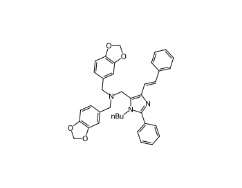 CCCCn1c(-c2ccccc2)nc(C=Cc2ccccc2)c1CN(Cc1ccc2c(c1)OCO2)Cc1ccc2c(c1)OCO2